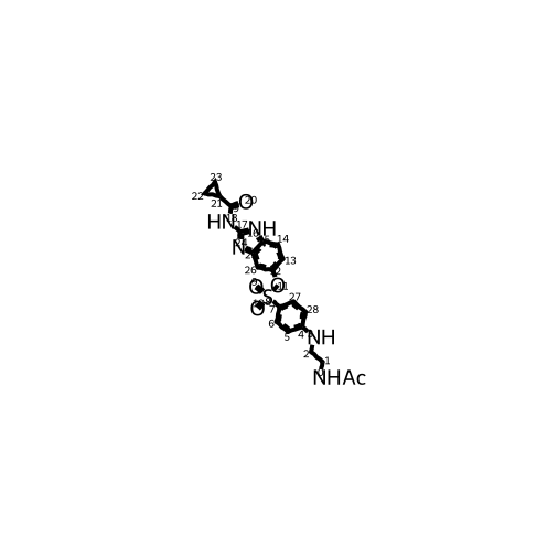 CC(=O)NCCNc1ccc(S(=O)(=O)Oc2ccc3[nH]c(NC(=O)C4CC4)nc3c2)cc1